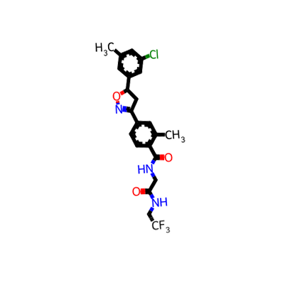 Cc1cc(Cl)cc(C2CC(c3ccc(C(=O)NCC(=O)NCC(F)(F)F)c(C)c3)=NO2)c1